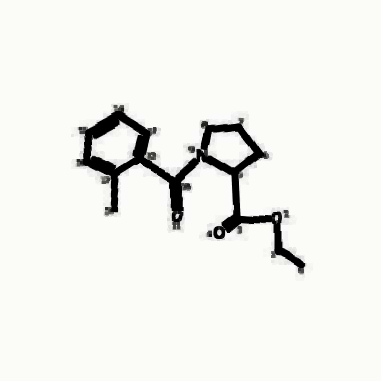 CCOC(=O)C1CCCN1C(=O)c1ccccc1C